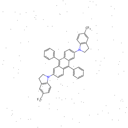 FC(F)(F)c1ccc2c(c1)CCN2c1ccc2c(-c3ccccc3)c3cc(N4CCc5cc(C(F)(F)F)ccc54)ccc3c(-c3ccccc3)c2c1